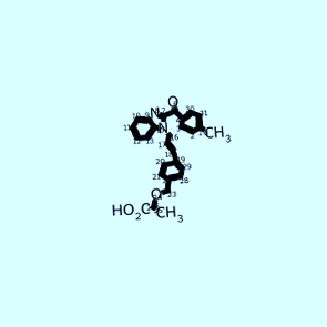 Cc1ccc(C(=O)c2nc3ccccc3n2C/C=C/c2ccc(CO[C@H](C)C(=O)O)cc2)cc1